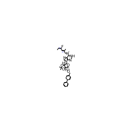 C/C=C(F)\C=C(/C)CN(C)C1NC=Nc2c1ncn2[C@@H]1O[C@H](COCC2=CCC(c3ccccc3)C=C2)[C@H]2OC(C)(C)O[C@H]21